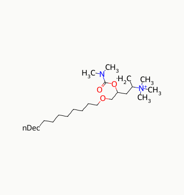 [CH2]C(CC(COCCCCCCCCCCCCCCCCCC)OC(=O)N(C)C)[N+](C)(C)C